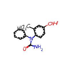 NC(=O)N(c1ccccc1)c1ccc(O)cc1C(=O)O